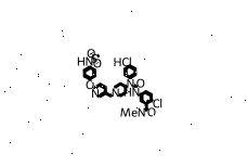 CNC(=O)c1cc(NC(=O)N(c2ccccc2)C2CCN(Cc3ccc(Oc4ccc(NS(C)(=O)=O)cc4)nc3)CC2)ccc1Cl.Cl